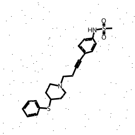 CS(=O)(=O)Nc1ccc(C#CCCN2CCC(Sc3ccccc3)CC2)cc1